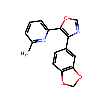 Cc1cccc(-c2ocnc2-c2ccc3c(c2)OCO3)n1